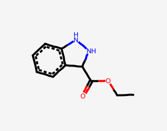 CCOC(=O)C1NNc2ccccc21